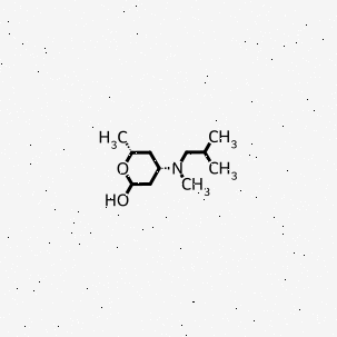 CC(C)CN(C)[C@@H]1CC(O)O[C@H](C)C1